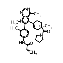 C=CC(=O)Nc1ccc(-c2c(C3=CC[C@](C)(C(=O)N4CCCC4)CC3)c3c(C)ncnc3n2C)c(C)c1